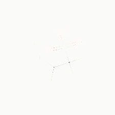 F.O=S(=O)(O)C(F)(F)C(F)F